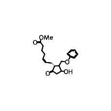 COC(=O)CCC/C=C\C[C@H]1C(=O)CC(O)C1COc1ccccc1